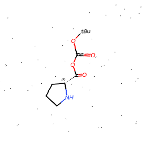 CC(C)(C)OC(=O)OC(=O)[C@H]1CCCN1